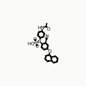 CC(=O)Nc1ccc(N(c2ccc(Oc3cccc4ccccc34)cc2C#N)S(=O)(=O)O)cc1